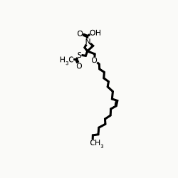 CCCCCCCC/C=C\CCCCCCCCOCC1(CSC(C)=O)CN(C(=O)O)C1